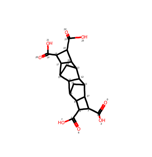 O=C(O)C1C(C(=O)O)C2C3CC(C4C5CC(C34)C3C(C(=O)O)C(C(=O)O)C53)C12